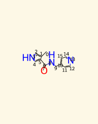 Cc1[c][nH]cc1C(=O)NCc1ccncc1